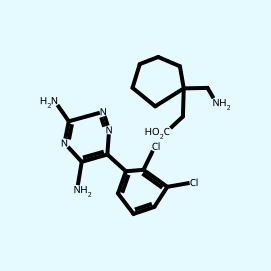 NCC1(CC(=O)O)CCCCC1.Nc1nnc(-c2cccc(Cl)c2Cl)c(N)n1